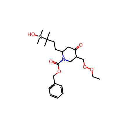 CCOOCC1CN(C(=O)OCc2ccccc2)C(CCC(C)(C)[Si](C)(C)O)CC1=O